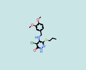 CCCSc1n[nH]c(=O)c(Cl)c1NCc1ccc(OC)c(OC)c1